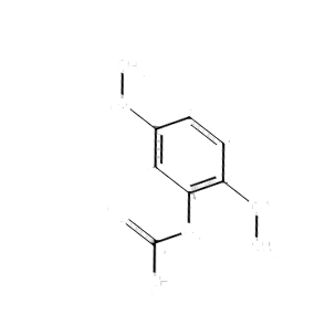 COc1ccc(OC)c(OC(C)=S)c1